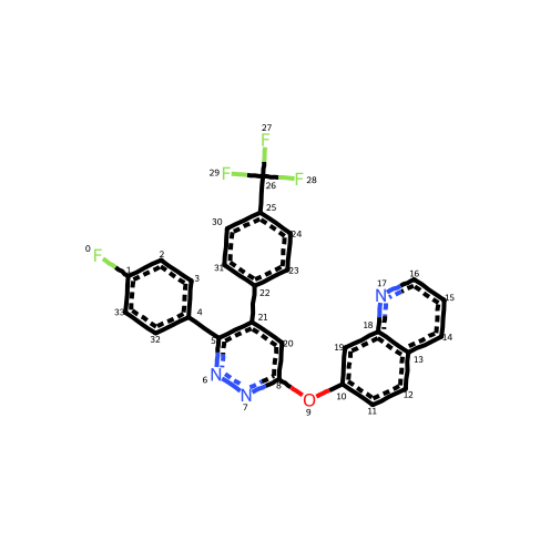 Fc1ccc(-c2nnc(Oc3ccc4cccnc4c3)cc2-c2ccc(C(F)(F)F)cc2)cc1